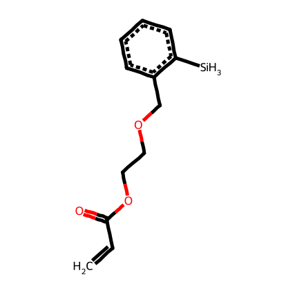 C=CC(=O)OCCOCc1ccccc1[SiH3]